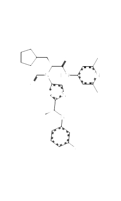 Cc1cc(NC(=O)[C@H](CC2CCCC2)N(C=O)c2cnc([C@H](C)Nc3cccc(Cl)c3)s2)cc(C)n1